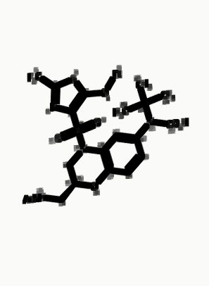 CCOc1sc(C(F)(F)F)nc1S(=O)(=O)N1C[C@H](CNC(C)=O)Oc2ccc(N(C(=O)O)C(C)(C)C(F)(F)F)cc21